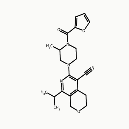 CC(C)c1nc(N2CCN(C(=O)c3ccco3)C(C)C2)c(C#N)c2c1COCC2